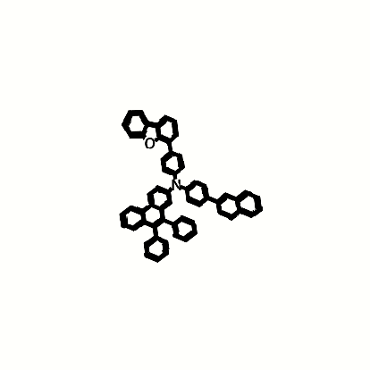 c1ccc(-c2c(-c3ccccc3)c3cc(N(c4ccc(-c5ccc6ccccc6c5)cc4)c4ccc(-c5cccc6c5oc5ccccc56)cc4)ccc3c3ccccc23)cc1